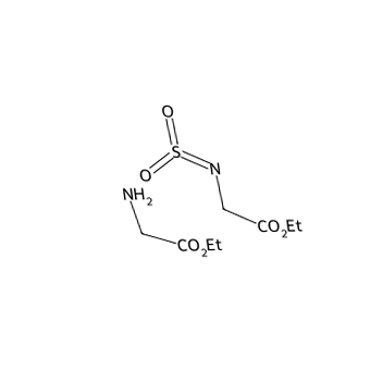 CCOC(=O)CN.CCOC(=O)CN=S(=O)=O